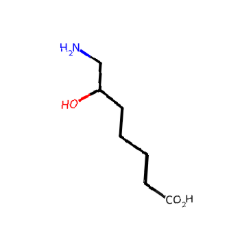 NCC(O)CCCCC(=O)O